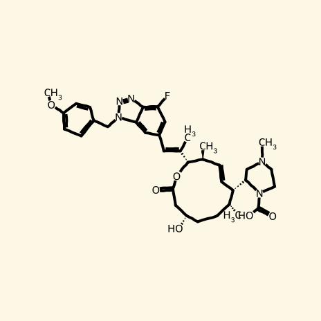 COc1ccc(Cn2nnc3c(F)cc(/C=C(\C)[C@H]4OC(=O)C[C@@H](O)CC[C@@H](C)[C@@H](C5CN(C)CCN5C(=O)O)/C=C/[C@@H]4C)cc32)cc1